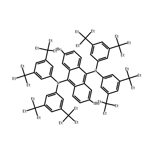 CCC(CC)(CC)c1cc(N(c2cc(C(CC)(CC)CC)cc(C(CC)(CC)CC)c2)c2c3ccc(C(C)(C)C)cc3c(N(c3cc(C(CC)(CC)CC)cc(C(CC)(CC)CC)c3)c3cc(C(CC)(CC)CC)cc(C(CC)(CC)CC)c3)c3ccc(C(C)(C)C)cc23)cc(C(CC)(CC)CC)c1